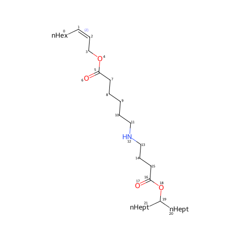 CCCCCC/C=C\COC(=O)CCCCCNCCCC(=O)OC(CCCCCCC)CCCCCCC